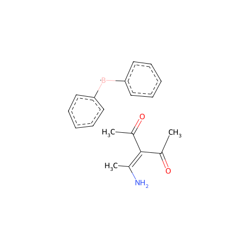 CC(=O)C(C(C)=O)=C(C)N.[B](c1ccccc1)c1ccccc1